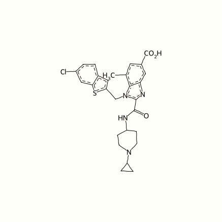 Cc1cc(C(=O)O)cc2nc(C(=O)NC3CCN(C4CC4)CC3)n(Cc3cc4ccc(Cl)cc4s3)c12